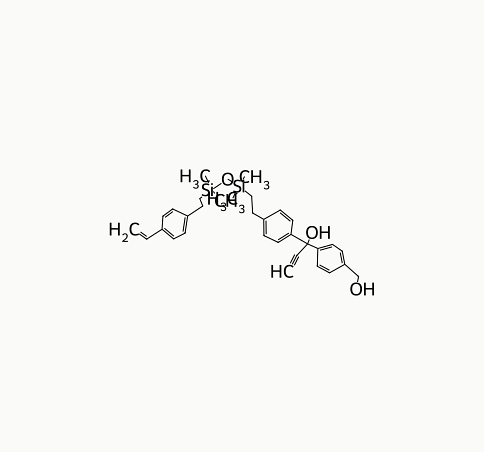 C#CC(O)(c1ccc(CO)cc1)c1ccc(CC[Si](C)(C)O[Si](C)(C)CCc2ccc(C=C)cc2)cc1